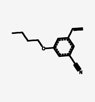 C=Cc1cc(C#N)cc(OCCCC)c1